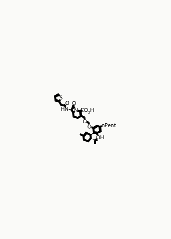 C=C(C)[C@@H]1CCC(C)=C[C@H]1c1c(O)cc(CCCCC)cc1OCOCC1=C(C(=O)O)N2C(=O)[C@@H](NC(=O)Cc3cccs3)C2CC1